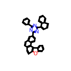 c1ccc(-c2nc(-c3ccc4c(ccc5ccc6oc7ccccc7c6c54)c3)nc(-c3cccc4ccccc34)n2)cc1